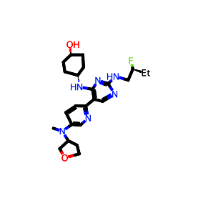 CC[C@H](F)CNc1ncc(-c2ccc(N(C)C3CCOC3)cn2)c(N[C@H]2CC[C@H](O)CC2)n1